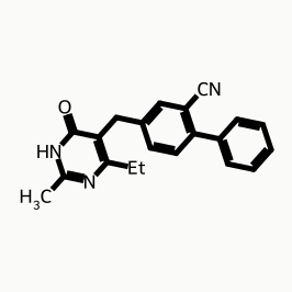 CCc1nc(C)[nH]c(=O)c1Cc1ccc(-c2ccccc2)c(C#N)c1